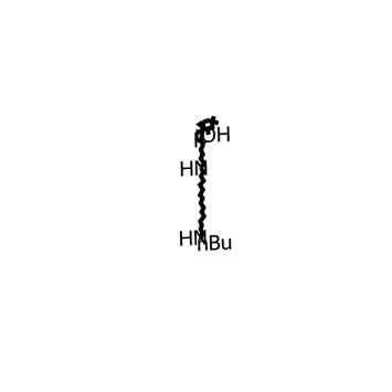 CCCCNCCCCCCCCCCCCCCCNCCCCCC(I)CC(C)C12CC1CC(C)(C)C=C2O